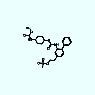 CC(C)(C)OC(=O)NC1CCC(OC(=O)Nc2cc(CCOS(C)(=O)=O)ccc2-c2ccccc2)CC1